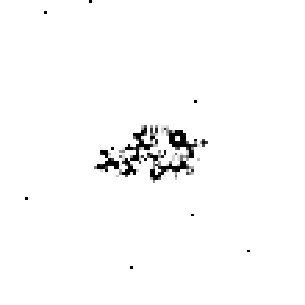 CCC(C)C([C@@H](CC(=O)N1CCC[C@H]1[C@H](OC)[C@@H](C)C(=O)N[C@H](C)[C@@H](O)c1ccc(N)cc1)OC)N(C)C(=O)[C@@H](NC(=O)C(C(C)C)N(C)C)C(C)C